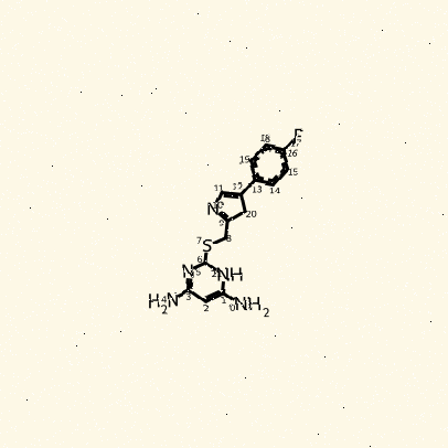 NC1=CC(N)=NC(SCC2=NC=C(c3ccc(F)cc3)C2)N1